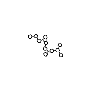 C1=CC(C2CC(C3=CCCCC3)CC(C3=CCC(N4C5=C(CCC=C5)C5C=CC(c6ccc7c(c6)N(C6C=C(C8C=CCC(C9CC=CCC9)C8)C=CC6)C6CCCCC76)=CC54)CC3)C2)CCC1